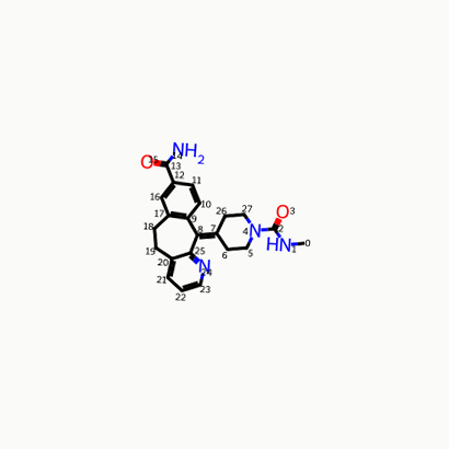 CNC(=O)N1CCC(=C2c3ccc(C(N)=O)cc3CCc3cccnc32)CC1